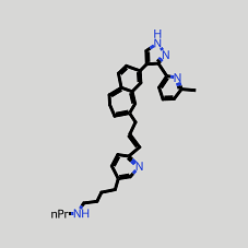 CCCNCCCCc1ccc(/C=C/CC2=CCC=c3ccc(-c4c[nH]nc4-c4cccc(C)n4)cc3=C2)nc1